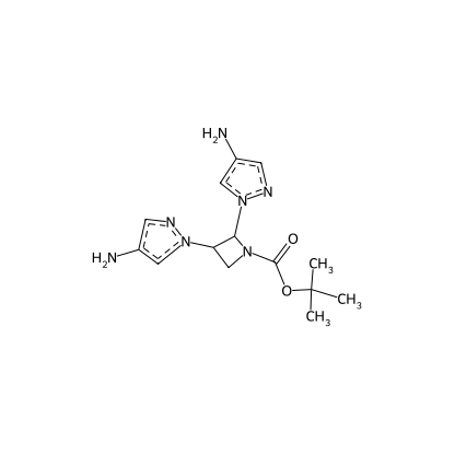 CC(C)(C)OC(=O)N1CC(n2cc(N)cn2)C1n1cc(N)cn1